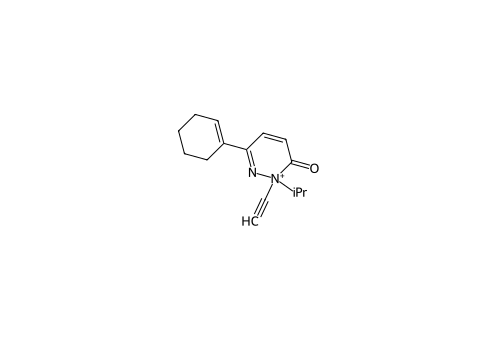 C#C[N+]1(C(C)C)N=C(C2=CCCCC2)C=CC1=O